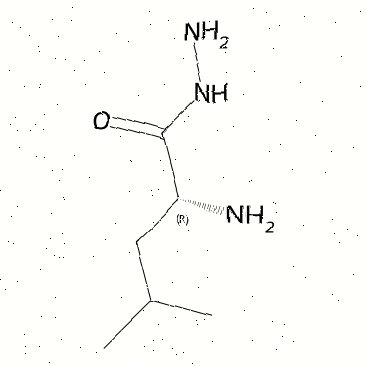 CC(C)C[C@@H](N)C(=O)NN